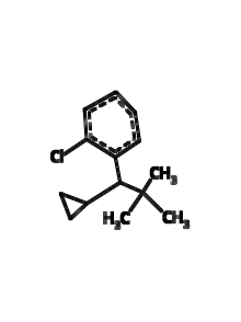 CC(C)(C)C(c1ccccc1Cl)C1CC1